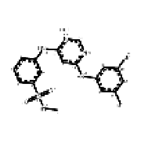 CNS(=O)(=O)c1cccc(Nc2cc(Nc3cc(C)cc(Br)c3)ncn2)c1.Cl